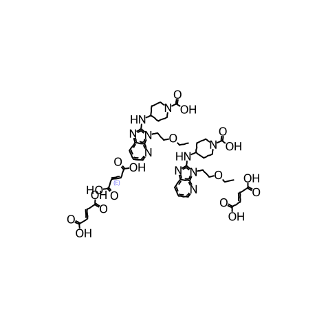 CCOCCn1c(NC2CCN(C(=O)O)CC2)nc2cccnc21.CCOCCn1c(NC2CCN(C(=O)O)CC2)nc2cccnc21.O=C(O)/C=C/C(=O)O.O=C(O)C=CC(=O)O.O=C(O)C=CC(=O)O